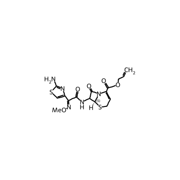 C=CCOC(=O)C1=CCS[C@H]2C(NC(=O)C(=NOC)c3csc(N)n3)C(=O)N12